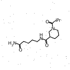 C[C](C)C(=O)N1CCCC(C(=O)NCCCCC(N)=O)C1